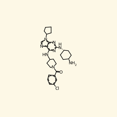 N[C@H]1CC[C@H](Nc2nc(NC3CCN(C(=O)c4cccc(Cl)c4)CC3)c3ncn(C4CCCC4)c3n2)CC1